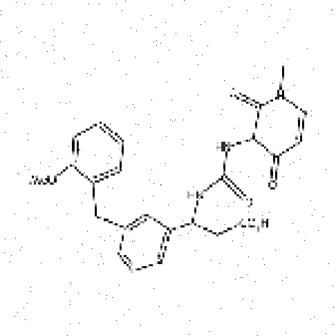 COc1ccccc1Cc1cccc(C(CC(=O)O)NC(=O)NC2C(=O)C=CN(C)C2=O)c1